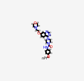 CCCOc1ccc(NC(=O)N2CCN(c3ncnc4cc(OCCN5CCOCC5)ccc34)CC2)cc1